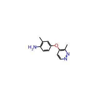 Cc1cc(Oc2ccnnc2C)ccc1N